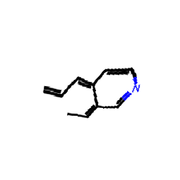 C=C/C=c1/ccnc/c1=C/C